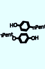 CCCCCOc1ccc(O)cc1.CCCCCc1ccc(O)cc1